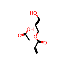 C=CC(=O)OCC=CO.CC(=O)O